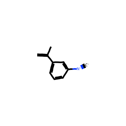 [C-]#[N+]c1cccc(C(=C)C)c1